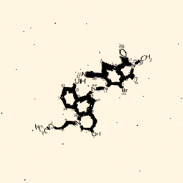 COCCN1CC(O)Cc2cc(/N=N/c3c(C#N)cc4c(c3Br)C(=O)N(C)C4=O)c3c(O)cccc3c21